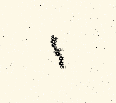 Cl.Cn1c(COc2ccc(CC3SC(=O)NC3=O)cc2)nc2ccc(Oc3ccc(-c4ccc(O)cc4)cc3)cc21